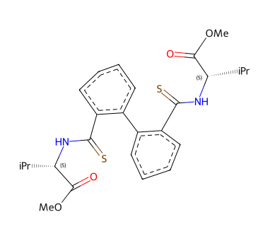 COC(=O)[C@@H](NC(=S)c1ccccc1-c1ccccc1C(=S)N[C@H](C(=O)OC)C(C)C)C(C)C